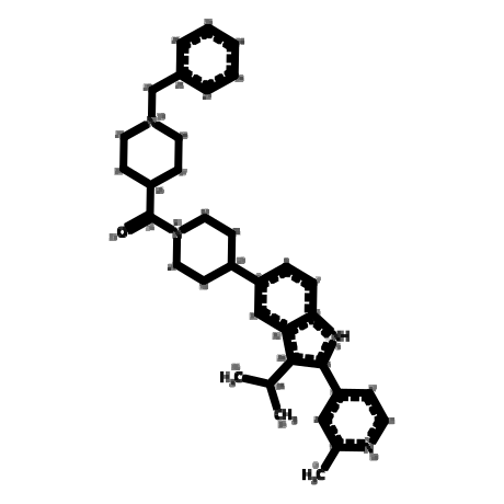 Cc1cc(-c2[nH]c3ccc(C4CCN(C(=O)C5CCN(Cc6ccccc6)CC5)CC4)cc3c2C(C)C)ccn1